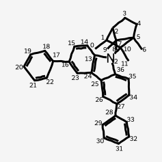 CC1C2CCC(C)(C2(C)C)C1(C)n1c2ccc(-c3ccccc3)cc2c2cc(-c3ccccc3)ccc21